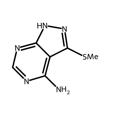 CSc1n[nH]c2ncnc(N)c12